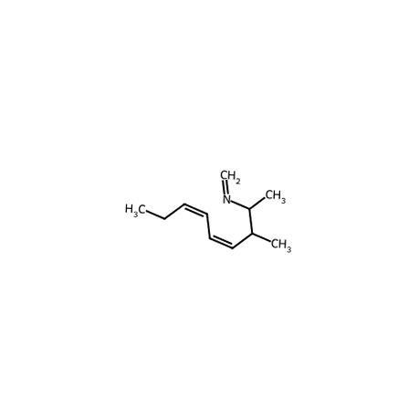 C=NC(C)C(C)/C=C\C=C/CC